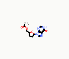 CC(=O)OCC1CCC(n2cnc3c(=O)[nH]cnc32)O1